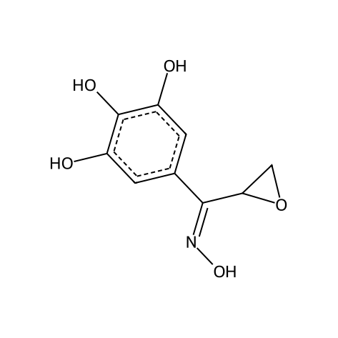 O/N=C(/c1cc(O)c(O)c(O)c1)C1CO1